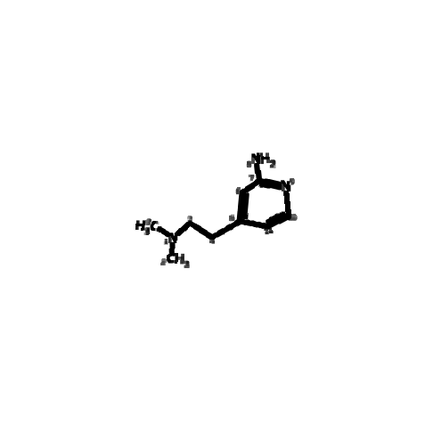 CN(C)CCc1[c]c(N)ncc1